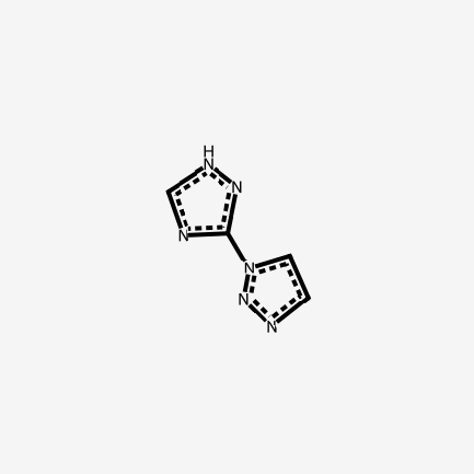 c1cn(-c2nc[nH]n2)nn1